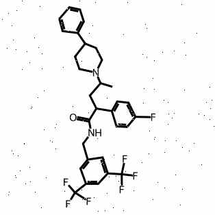 CC(CC(C(=O)NCc1cc(C(F)(F)F)cc(C(F)(F)F)c1)c1ccc(F)cc1)N1CCC(c2ccccc2)CC1